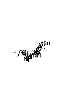 Cc1cc(-c2nnc3ccc(C(=O)Nc4ccc5c(n4)CCN(C(=O)OC(C)(C)C)C5)nn23)no1